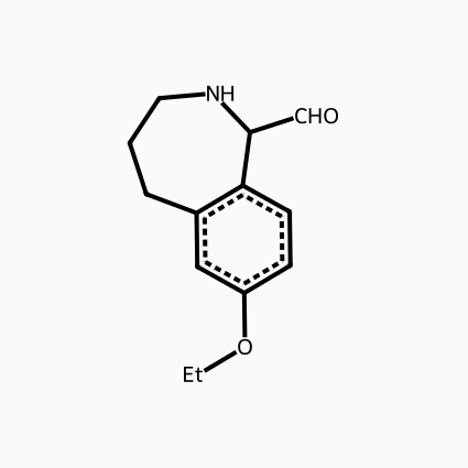 CCOc1ccc2c(c1)CCCNC2C=O